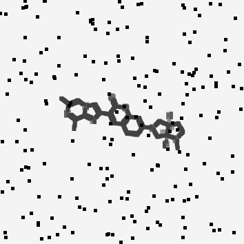 Cc1cn2cc(-c3cc4ccc(N5C[C@H]6CCN(C)[C@H]6C5)cc4oc3=O)nc2c(C)n1